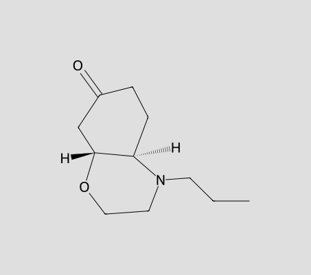 CCCN1CCO[C@@H]2CC(=O)CC[C@H]21